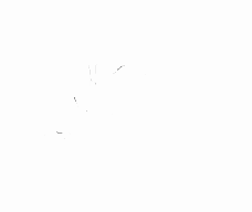 C[C@H](F)[C@H]1CN[C@@H](Cc2ccc(Cl)cc2)CO1